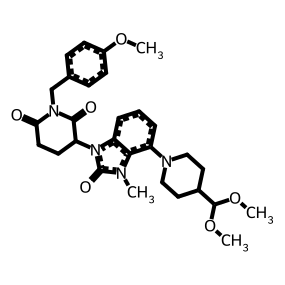 COc1ccc(CN2C(=O)CCC(n3c(=O)n(C)c4c(N5CCC(C(OC)OC)CC5)cccc43)C2=O)cc1